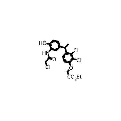 CCOC(=O)COc1ccc(C(C)c2ccc(O)c(NC(=O)CCl)c2)c(Cl)c1Cl